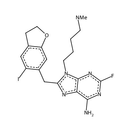 CNCCCCn1c(Cc2cc3c(cc2I)CCO3)nc2c(N)nc(F)nc21